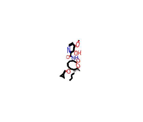 CCCC[C@H]1[C@H](C)OC(=O)[C@@H](NC(=O)c2nccc(OC)c2O)CCC[C@@H]1OCC1CC1